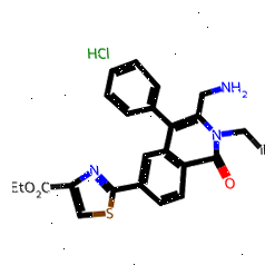 CCOC(=O)c1csc(-c2ccc3c(=O)n(CC(C)C)c(CN)c(-c4ccccc4)c3c2)n1.Cl